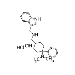 CN(C)C1(c2ccccc2)CCC(CNCc2c[nH]c3ccccc23)CC1.Cl.Cl